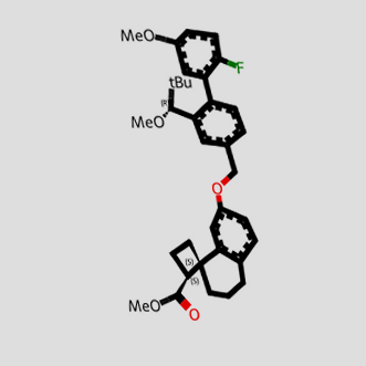 COC(=O)[C@H]1CC[C@@]12CCCc1ccc(OCc3ccc(-c4cc(OC)ccc4F)c([C@H](OC)C(C)(C)C)c3)cc12